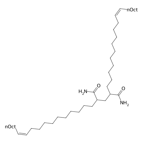 CCCCCCCC/C=C\CCCCCCCCCCC(CC(CCCCCCCCCC/C=C\CCCCCCCC)C(N)=O)C(N)=O